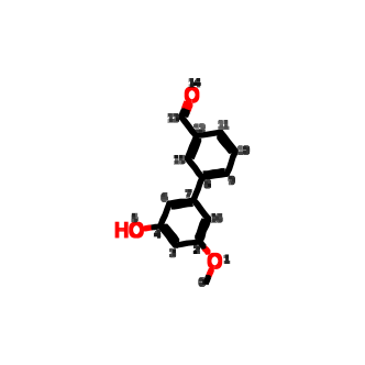 COc1cc(O)cc(-c2cccc(C=O)c2)c1